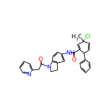 CC1(Cl)C=CC(c2ccccc2)C(C(=O)Nc2ccc3c(c2)CCN3C(=O)Cc2ccccn2)=C1